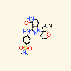 CN(C)S(=O)(=O)c1ccc(Nc2nn([C@@]3(CC#N)CCCOC3)c3cc[nH]c(=O)c23)cc1